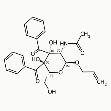 C=CCO[C@H]1O[C@H](CO)[C@](O)(C(=O)c2ccccc2)[C@@](O)(C(=O)c2ccccc2)[C@@H]1NC(C)=O